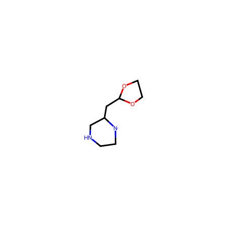 C1CNCC(CC2OCCO2)[N]1